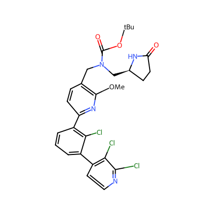 COc1nc(-c2cccc(-c3ccnc(Cl)c3Cl)c2Cl)ccc1CN(C[C@@H]1CCC(=O)N1)C(=O)OC(C)(C)C